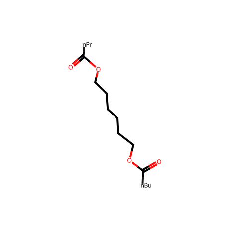 CCCCC(=O)OCCCCCCOC(=O)CCC